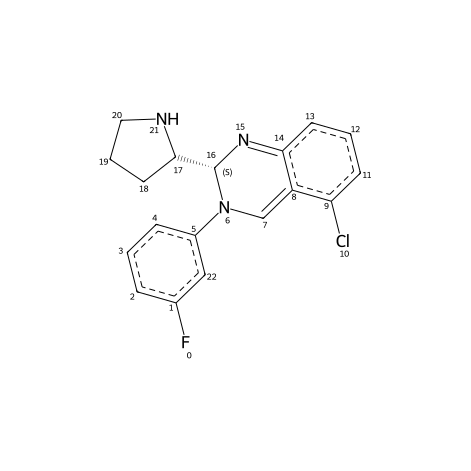 Fc1cccc(N2C=c3c(Cl)cccc3=N[C@H]2C2CCCN2)c1